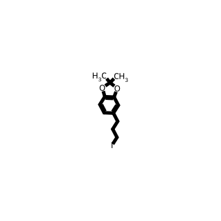 CC1(C)Oc2ccc(CCCI)cc2O1